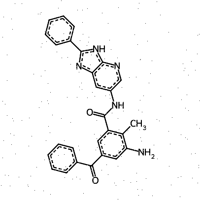 Cc1c(N)cc(C(=O)c2ccccc2)cc1C(=O)Nc1cnc2[nH]c(-c3ccccc3)nc2c1